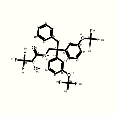 O=C(NCC(Cc1ccccc1)(c1cccc(OC(F)(F)F)c1)c1cccc(OC(F)(F)F)c1)[C@H](O)C(F)(F)F